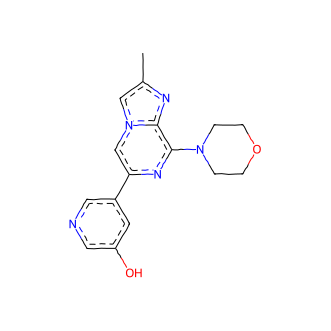 Cc1cn2cc(-c3cncc(O)c3)nc(N3CCOCC3)c2n1